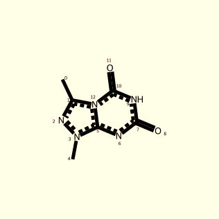 Cc1nn(C)c2nc(=O)[nH]c(=O)n12